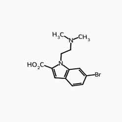 CN(C)CCn1c(C(=O)O)cc2ccc(Br)cc21